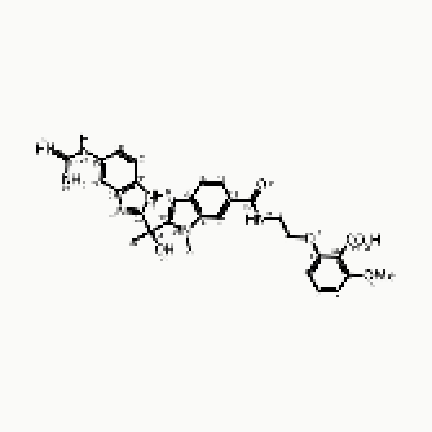 COc1cccc(OCCNC(=O)c2ccc3nc(C(C)(O)c4nc5cc(NC(=N)N)ccc5[nH]4)n(C)c3c2)c1C(=O)O